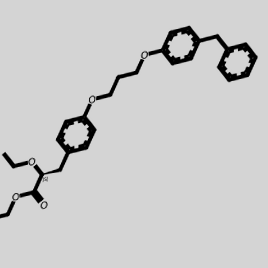 CCOC(=O)[C@H](Cc1ccc(OCCCOc2ccc(Cc3ccccc3)cc2)cc1)OCC